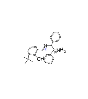 CC(C)(C)c1cccc(/C=N/C(c2ccccc2)[C@H](N)c2ccccc2)c1O